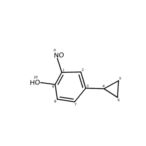 O=Nc1cc(C2CC2)ccc1O